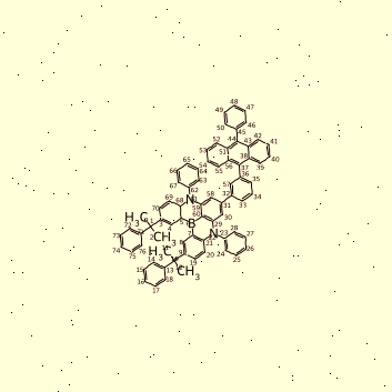 CC(C)(C1=CC2B3c4cc(C(C)(C)c5ccccc5)ccc4N(c4ccccc4)c4cc(-c5cccc(-c6c7ccccc7c(-c7ccccc7)c7ccccc67)c5)cc(c43)N(c3ccccc3)C2C=C1)c1ccccc1